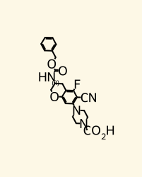 N#Cc1c(N2CCN(C(=O)O)CC2)cc2c(c1F)C[C@@H](NC(=O)OCc1ccccc1)CO2